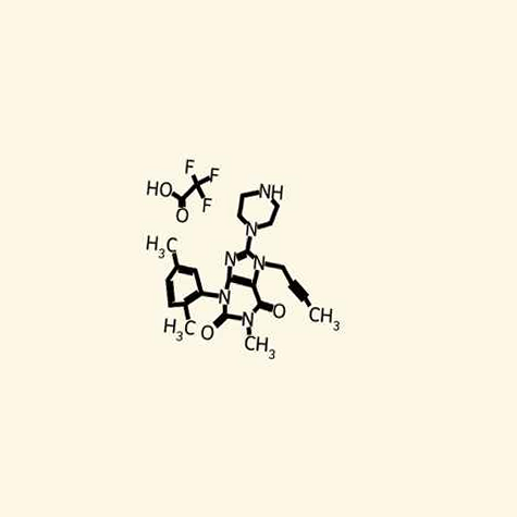 CC#CCn1c(N2CCNCC2)nc2c1c(=O)n(C)c(=O)n2-c1cc(C)ccc1C.O=C(O)C(F)(F)F